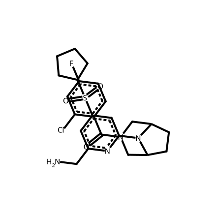 NCc1cc(S(=O)(=O)C2CCCC2)cc(N2C3CCC2CN(C(=O)c2ccc(F)cc2Cl)C3)n1